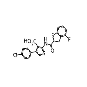 O=C(O)c1c(-c2ccc(Cl)cc2)csc1NC(=O)C1Cc2c(F)cccc2S1